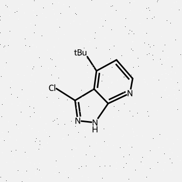 CC(C)(C)c1ccnc2[nH]nc(Cl)c12